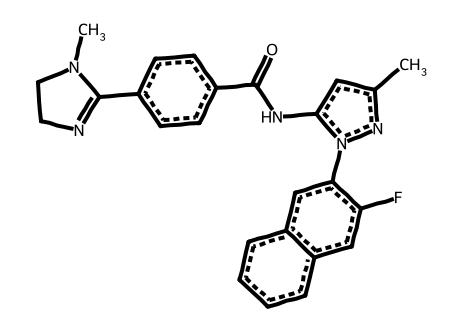 Cc1cc(NC(=O)c2ccc(C3=NCCN3C)cc2)n(-c2cc3ccccc3cc2F)n1